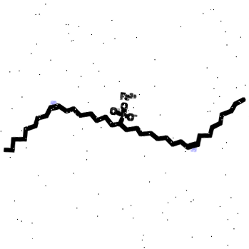 CCCCCCCC/C=C\CCCCCCCCC(CCCCCCC/C=C\CCCCCCCC)P(=O)([O-])[O-].[Fe+2]